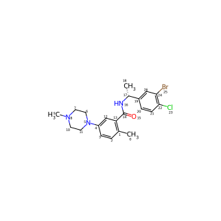 Cc1ccc(N2CCN(C)CC2)cc1C(=O)N[C@H](C)c1ccc(Cl)c(Br)c1